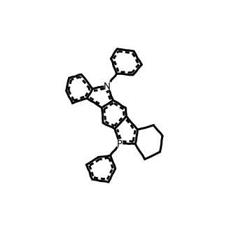 c1ccc(-n2c3ccccc3c3cc4c(cc32)c2c(p4-c3ccccc3)CCCC2)cc1